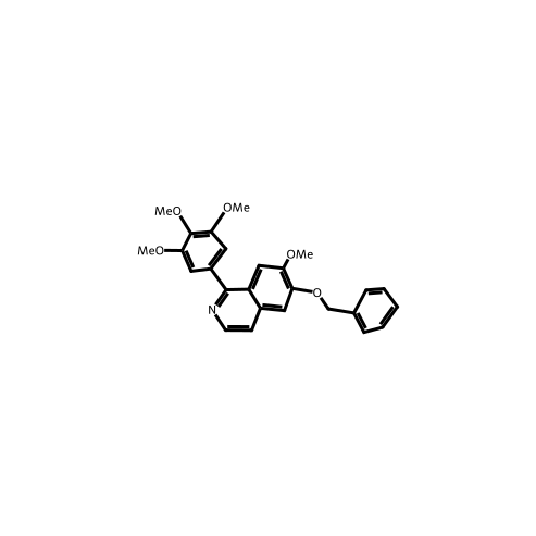 COc1cc2c(-c3cc(OC)c(OC)c(OC)c3)nccc2cc1OCc1ccccc1